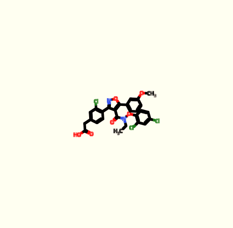 CCN(Oc1ccc(Cl)cc1Cl)C(=O)c1c(-c2ccc(CC(=O)O)cc2Cl)noc1-c1cccc(OC)c1